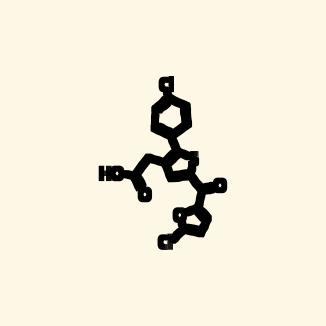 O=C(O)Cc1cc(C(=O)c2ccc(Cl)o2)sc1-c1ccc(Cl)cc1